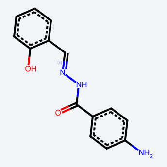 Nc1ccc(C(=O)N/N=C/c2ccccc2O)cc1